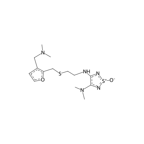 CN(C)Cc1ccoc1CSCCNc1n[s+]([O-])nc1N(C)C